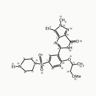 CCc1c2nc(-c3cc(S(=O)(=O)N4CCN(CC)CC4)cnc3OC(C)COC)[nH]c(=O)c2nn1C